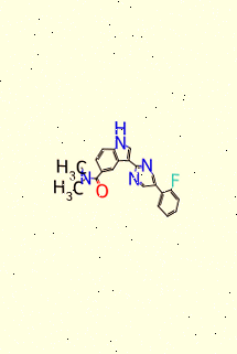 CN(C)C(=O)c1ccc2[nH]cc(-c3ncc(-c4ccccc4F)cn3)c2c1